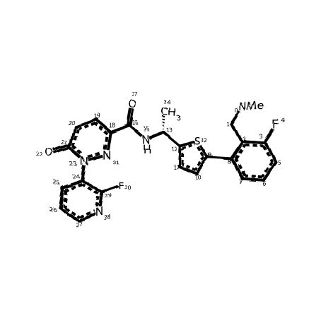 CNCc1c(F)cccc1-c1ccc([C@@H](C)NC(=O)c2ccc(=O)n(-c3cccnc3F)n2)s1